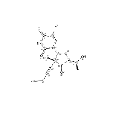 C[C@H](O)[C@H]1O[C@@H](n2cc(F)c(=O)[nH]c2=O)[C@@](N)(C#CCF)C1O